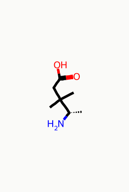 C[C@H](N)C(C)(C)CC(=O)O